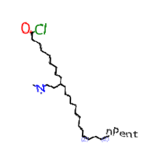 CCCCC/C=C\C/C=C\CCCCCCCCCC(CCCCCCCCC(=O)Cl)CCN(C)C